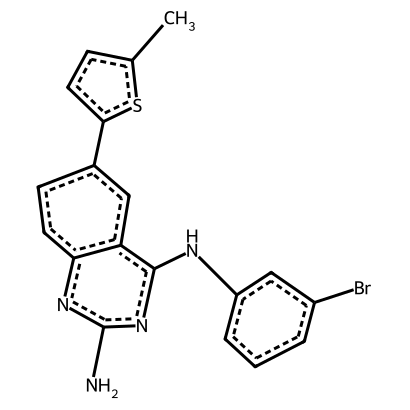 Cc1ccc(-c2ccc3nc(N)nc(Nc4cccc(Br)c4)c3c2)s1